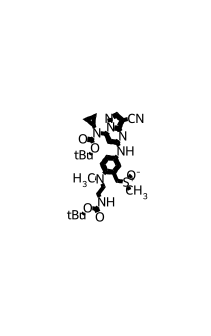 CN(CCNC(=O)OC(C)(C)C)c1ccc(Nc2cc(N(C(=O)OC(C)(C)C)C3CC3)n3ncc(C#N)c3n2)cc1C[S+](C)[O-]